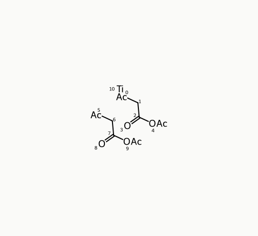 CC(=O)CC(=O)OC(C)=O.CC(=O)CC(=O)OC(C)=O.[Ti]